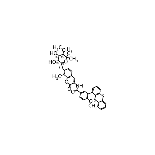 COc1ccc(C(=O)Nc2cc3ccc(O[C@@H]4OC(C)(C)[C@H](OC)[C@@H](O)[C@H]4O)c(C)c3oc2=O)cc1-c1cccc2c1Sc1ccccc1S2